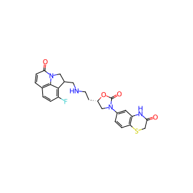 O=C1CSc2ccc(N3C[C@H](CCNCC4Cn5c(=O)ccc6ccc(F)c4c65)OC3=O)cc2N1